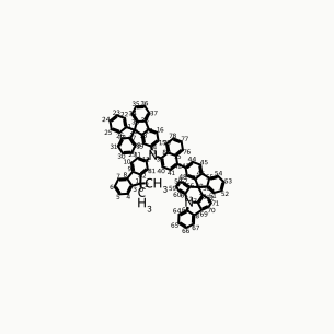 CC1(C)c2ccccc2-c2ccc(N(c3ccc4c(c3)C(c3ccccc3)(c3ccccc3)c3ccccc3-4)c3ccc(-c4ccc5c(c4)C4(c6ccccc6-5)c5ccccc5-n5c6ccccc6c6cccc4c65)c4ccccc34)cc21